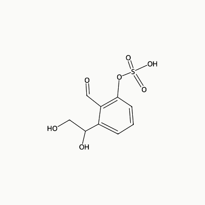 O=Cc1c(OS(=O)(=O)O)cccc1C(O)CO